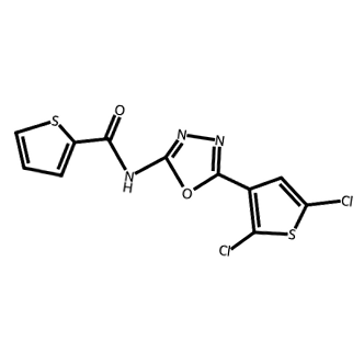 O=C(Nc1nnc(-c2cc(Cl)sc2Cl)o1)c1cccs1